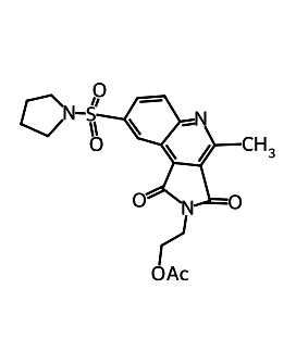 CC(=O)OCCN1C(=O)c2c(C)nc3ccc(S(=O)(=O)N4CCCC4)cc3c2C1=O